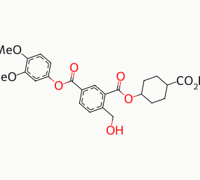 CCOC(=O)C1CCC(OC(=O)c2cc(C(=O)Oc3ccc(OC)c(OC)c3)ccc2CO)CC1